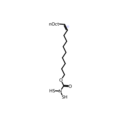 CCCCCCCC/C=C\CCCCCCCCOC(=O)N(S)S